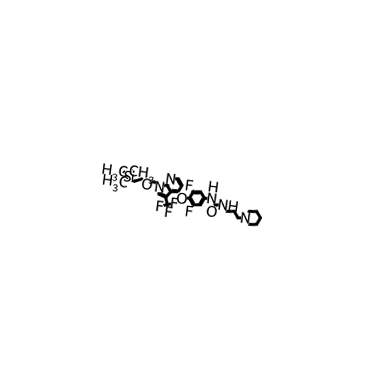 C[Si](C)(C)CCOCn1cc(C(F)(F)F)c2c(Oc3c(F)cc(NC(=O)NCCCN4CCCCC4)cc3F)ccnc21